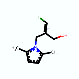 Cc1ccc(C)n1C/C(=C\F)CO